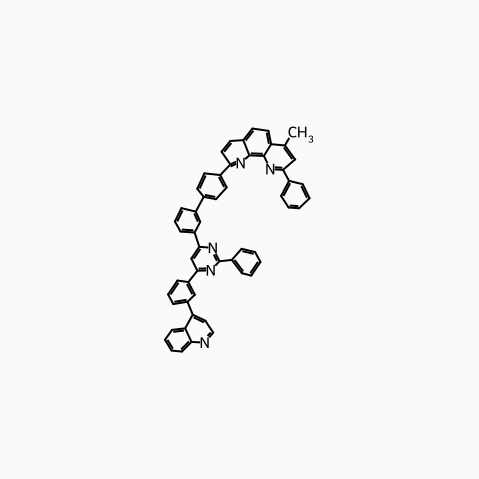 Cc1cc(-c2ccccc2)nc2c1ccc1ccc(-c3ccc(-c4cccc(-c5cc(-c6cccc(-c7ccnc8ccccc78)c6)nc(-c6ccccc6)n5)c4)cc3)nc12